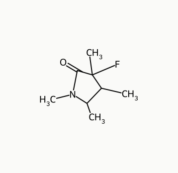 CC1C(C)C(C)(F)C(=O)N1C